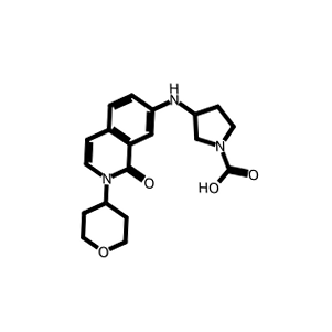 O=C(O)N1CCC(Nc2ccc3ccn(C4CCOCC4)c(=O)c3c2)C1